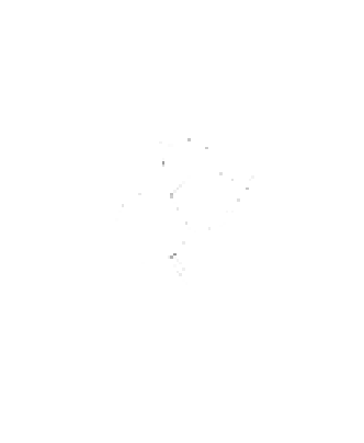 CCOCC.O=C1CCC(C(=O)O)N1